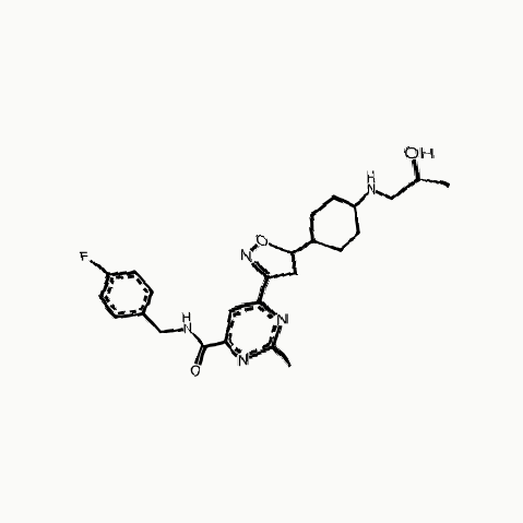 Cc1nc(C(=O)NCc2ccc(F)cc2)cc(C2=NOC(C3CCC(NC[C@H](C)O)CC3)C2)n1